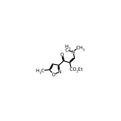 CCOC(=O)/C(=C/N(C)C)C(=O)c1cc(C)on1